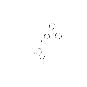 CCN/C(=N\c1c(Br)cc(Br)cc1C=O)O/C(C=O)=C/c1ccc(N(c2ccccc2)c2ccccc2)cc1